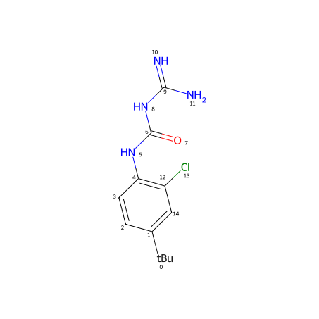 CC(C)(C)c1ccc(NC(=O)NC(=N)N)c(Cl)c1